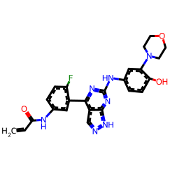 C=CC(=O)Nc1ccc(F)c(-c2nc(Nc3ccc(O)c(N4CCOCC4)c3)nc3[nH]ncc23)c1